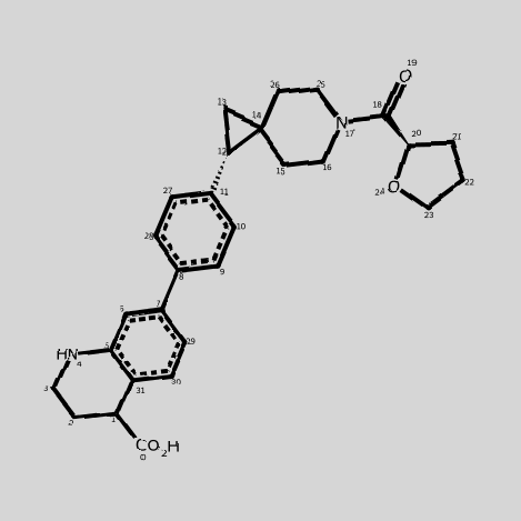 O=C(O)C1CCNc2cc(-c3ccc([C@@H]4CC45CCN(C(=O)[C@H]4CCCO4)CC5)cc3)ccc21